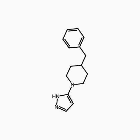 c1ccc(CC2CCN(c3ccn[nH]3)CC2)cc1